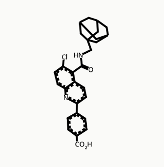 O=C(O)c1ccc(-c2ccc3c(C(=O)NCC45CC6CC(CC(C6)C4)C5)c(Cl)ccc3n2)cc1